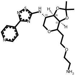 CC1(C)O[C@@H]2[C@@H](Nc3nc(-c4ccncc4)ns3)COC(CCOCCN)[C@@H]2O1